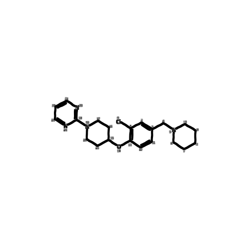 Clc1cc(CN2CCCCC2)ccc1OC1CCN(c2ncccn2)CC1